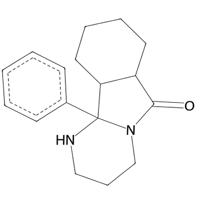 O=C1C2CCCCC2C2(c3ccccc3)NCCCN12